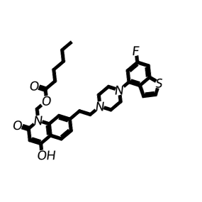 CCCCCC(=O)OCn1c(=O)cc(O)c2ccc(CCN3CCN(c4cc(F)cc5sccc45)CC3)cc21